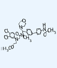 COCCN(CC(=O)N(C)C(CN1CCOCC1)c1ccc(-c2ccc(NC(C)=O)cc2)cc1)c1ccc(Cl)c(Cl)c1